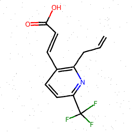 C=CCc1nc(C(F)(F)F)ccc1/C=C/C(=O)O